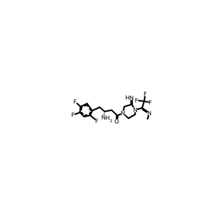 C/N=C(\N1CCN(C(=O)C[C@H](N)Cc2cc(F)c(F)cc2F)CC1=N)C(F)(F)F